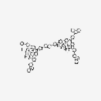 CC1(C)c2cc(-c3ccccc3)ccc2-c2ccc(N(c3ccc(-c4ccc5cc(-c6ccc(-c7ccc8c(c7)C(C)(C)c7cc(N(c9ccc(-c%10cc%11ccccc%11c%11ccccc%10%11)cc9)c9ccc%10c(c9)C(C)(C)c9cc(-c%11ccc%12c(c%11)oc%11ccccc%11%12)ccc9-%10)ccc7-8)cc6)ccc5c4)cc3)c3ccc4c(c3)C(C)(C)c3cc(-c5ccc6c(c5)oc5ccccc56)ccc3-4)cc21